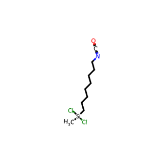 C[Si](Cl)(Cl)CCCCCCCCN=C=O